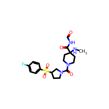 CNC1(C(=O)NC=O)CCN(C(=O)N2CCC(S(=O)(=O)c3ccc(F)cc3)C2)CC1